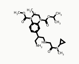 COC(=O)N1c2ccc(C(CN)CNCC(=O)N(C)C3CC3)cc2N(C(=O)OC(C)C)C[C@@H]1C